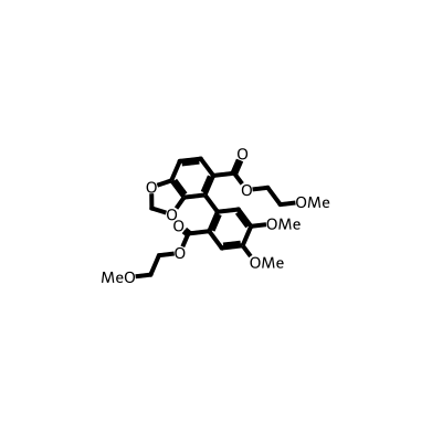 COCCOC(=O)c1cc(OC)c(OC)cc1-c1c(C(=O)OCCOC)ccc2c1OCO2